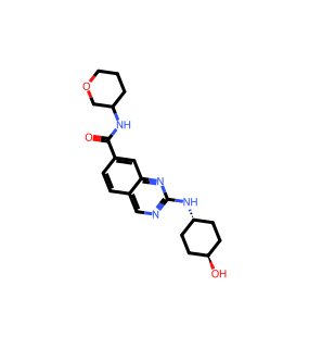 O=C(NC1CCCOC1)c1ccc2cnc(N[C@H]3CC[C@H](O)CC3)nc2c1